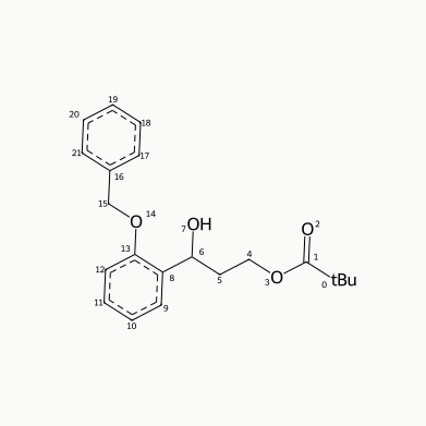 CC(C)(C)C(=O)OCCC(O)c1ccccc1OCc1ccccc1